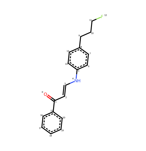 O=C(C=CNc1ccc(CCCF)cc1)c1ccccc1